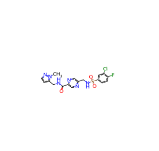 Cn1nccc1CNC(=O)c1cnc(CNS(=O)(=O)c2ccc(F)c(Cl)c2)cn1